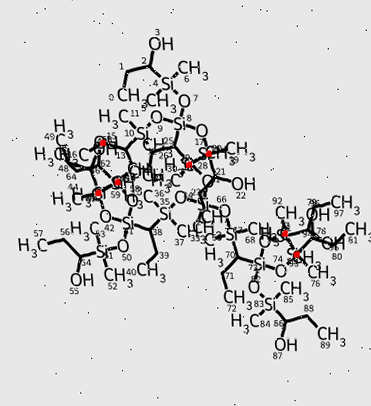 CCC(O)[Si](C)(C)O[Si](O[Si](C)(C)C(O)CC)(O[Si](C)(C)C(O)CC)C(CC)[Si](C)(C)O[Si](C)(O[Si](C)(C)C(CC)[Si](O[Si](C)(C)C(O)CC)(O[Si](C)(C)C(O)CC)O[Si](C)(C)C(O)CC)O[Si](C)(C)C(CC)[Si](O[Si](C)(C)C(O)CC)(O[Si](C)(C)C(O)CC)O[Si](C)(C)C(O)CC